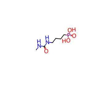 CNC(=O)NCCCCP(=O)(O)O